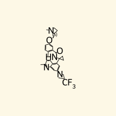 Cc1ccc2c(C3(NC(=O)c4cc(OC[C@@H]5CCN5C)ccc4C)CC3)cc(N3CC(C(F)(F)F)C3)cc2n1